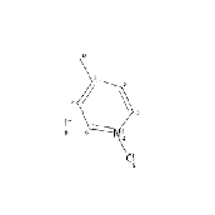 Cc1cc[n+](Cl)cc1.[I-]